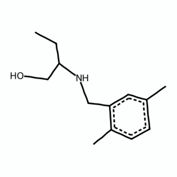 CCC(CO)NCc1cc(C)ccc1C